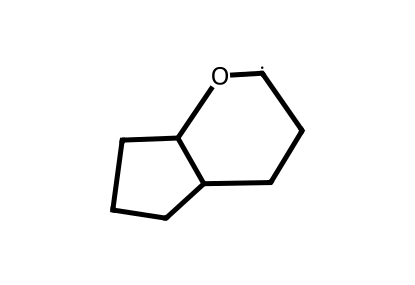 [CH]1CCC2CCCC2O1